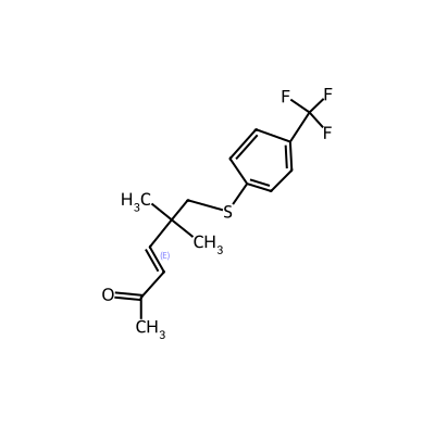 CC(=O)/C=C/C(C)(C)CSc1ccc(C(F)(F)F)cc1